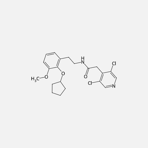 COc1cccc(CCNC(=O)Cc2c(Cl)cncc2Cl)c1OC1CCCC1